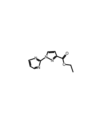 CCOC(=O)c1ccn(-c2ncccn2)n1